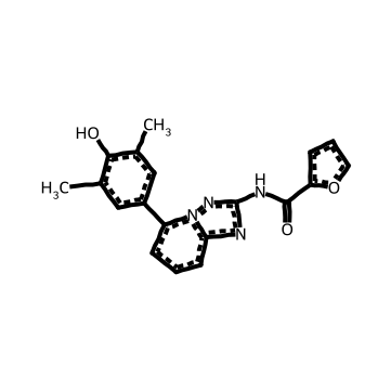 Cc1cc(-c2cccc3nc(NC(=O)c4ccco4)nn23)cc(C)c1O